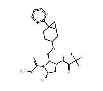 COC(=O)N1[C@H](C)C[C@H](NC(=O)C(F)(F)F)[C@@H]1COC1CCC2(c3ncccn3)CC2C1